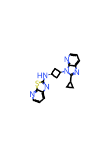 c1cnc2sc(N[C@H]3C[C@H](n4c(C5CC5)nc5cccnc54)C3)nc2c1